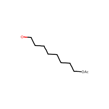 CC(=O)OCCCCCCCC[O]